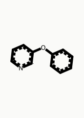 [c]1ncccc1Oc1ccccc1